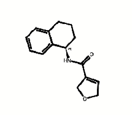 O=C(N[C@@H]1CCCc2ccccc21)C1=CCOC1